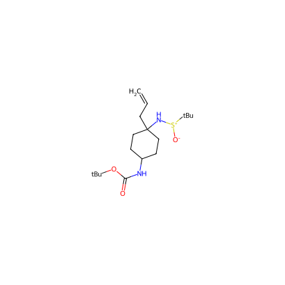 C=CCC1(N[S+]([O-])C(C)(C)C)CCC(NC(=O)OC(C)(C)C)CC1